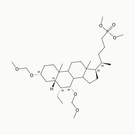 CC[C@H]1[C@@H](OCOC)C2C3CC[C@H]([C@H](C)CCCP(=O)(OC)OC)C3(C)CCC2C2(C)CC[C@@H](OCOC)C[C@@H]12